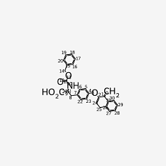 C=C1C(Oc2ccc(C[C@H](NC(=O)OCc3ccccc3)C(=O)O)cc2)=CCc2ccccc21